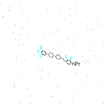 CCCc1ccc(CCC2CCC(C3CCC(c4cc(F)c(F)c(F)c4)CC3)CC2)c(F)c1F